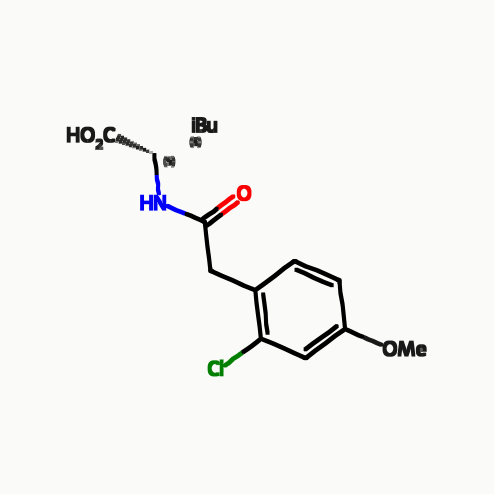 CC[C@H](C)[C@H](NC(=O)Cc1ccc(OC)cc1Cl)C(=O)O